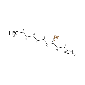 CCCCCCCC(Br)CCC